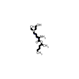 CCCCC(C)OC(=O)/C(N)=C/C=C/N(CC)CCO